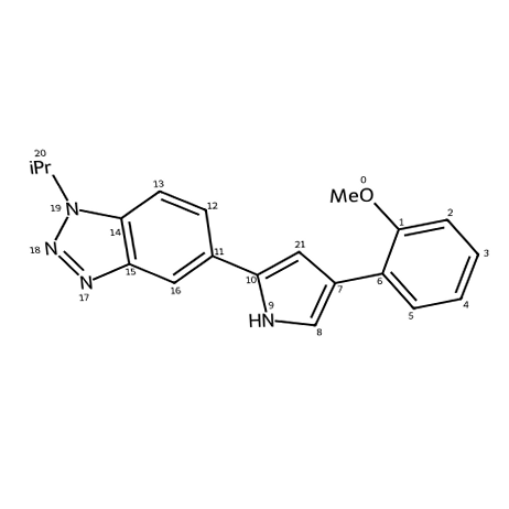 COc1ccccc1-c1c[nH]c(-c2ccc3c(c2)nnn3C(C)C)c1